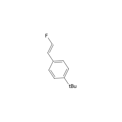 CC(C)(C)c1ccc(C=CF)cc1